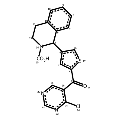 O=C(c1cc(C2c3ccccc3CCN2C(=O)O)cs1)c1cncnc1Cl